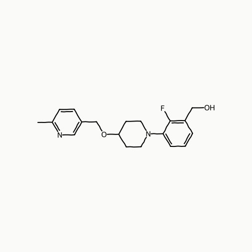 Cc1ccc(COC2CCN(c3cccc(CO)c3F)CC2)cn1